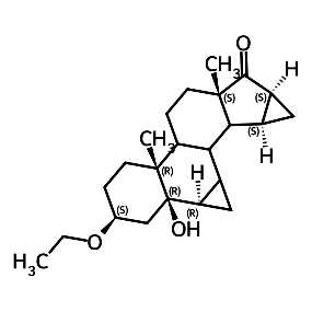 CCO[C@H]1CC[C@]2(C)C3CC[C@]4(C)C(=O)[C@H]5C[C@H]5C4C3C3C[C@H]3[C@]2(O)C1